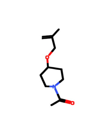 C=C(C)COC1CCN(C(C)=O)CC1